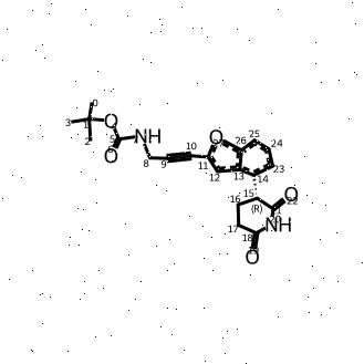 CC(C)(C)OC(=O)NCC#Cc1cc2c([C@H]3CCC(=O)NC3=O)cccc2o1